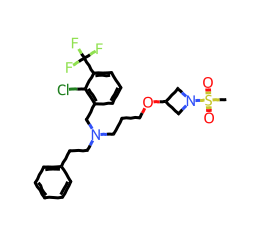 CS(=O)(=O)N1CC(OCCCN(CCc2ccccc2)Cc2cccc(C(F)(F)F)c2Cl)C1